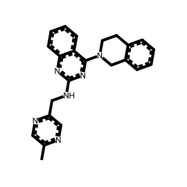 Cc1cnc(CNc2nc(N3CCc4ccccc4C3)c3ccccc3n2)cn1